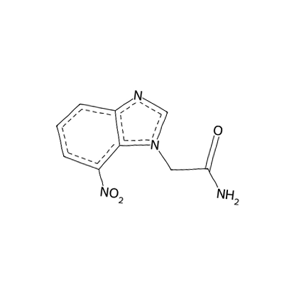 NC(=O)Cn1cnc2cccc([N+](=O)[O-])c21